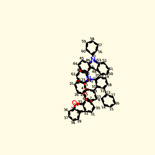 c1ccc(-c2ccccc2-c2c(-c3ccccc3)cccc2N(c2cccc(-c3cccc4c3oc3ccccc34)c2)c2cccc3c2c2ccccc2n3-c2ccccc2)cc1